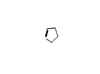 [CH]1=[Zr][CH2]CC1